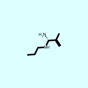 C=C(C)[C@@H](N)NCCC